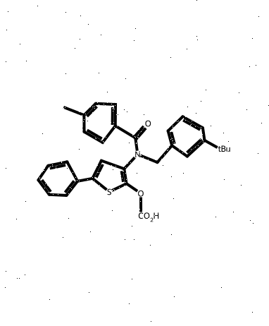 Cc1ccc(C(=O)N(Cc2cccc(C(C)(C)C)c2)c2cc(-c3ccccc3)sc2OC(=O)O)cc1